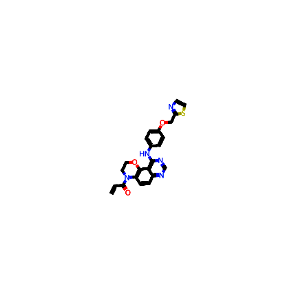 C=CC(=O)N1CCOc2c1ccc1ncnc(Nc3ccc(OCc4nccs4)cc3)c21